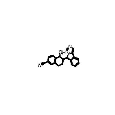 N#Cc1ccc2c(c1)CCC(C1c3ccccc3-c3cncn31)C2O